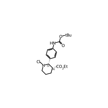 CCOC(=O)[C@@H]1CCCN(Cl)[C@@H]1c1ccc(NC(=O)OC(C)(C)C)cc1